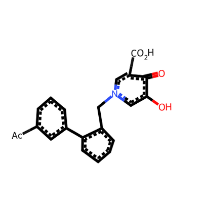 CC(=O)c1cccc(-c2ccccc2Cn2cc(O)c(=O)c(C(=O)O)c2)c1